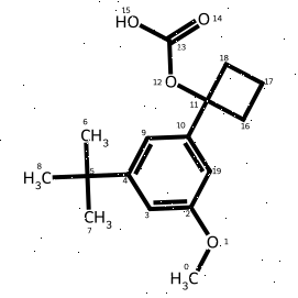 COc1cc(C(C)(C)C)cc(C2(OC(=O)O)CCC2)c1